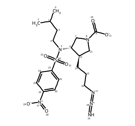 CC(C)CCN([C@@H]1CN(C(=O)[O-])C[C@H]1CCCN=[N+]=N)S(=O)(=O)c1ccc([N+](=O)[O-])cc1